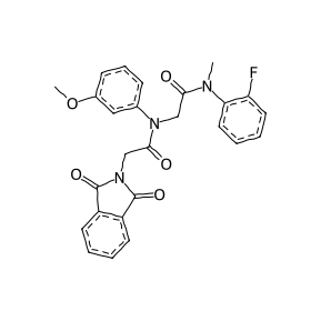 COc1cccc(N(CC(=O)N(C)c2ccccc2F)C(=O)CN2C(=O)c3ccccc3C2=O)c1